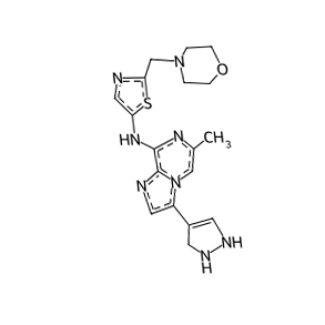 Cc1cn2c(C3=CNNC3)cnc2c(Nc2cnc(CN3CCOCC3)s2)n1